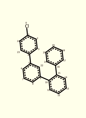 Clc1ccc(-c2cccc(-c3ccccc3-c3ccccc3)c2)cc1